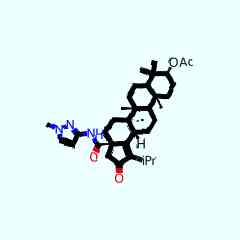 CC(=O)O[C@H]1CC[C@@]2(C)C(CC[C@]3(C)C2CC[C@@H]2C4=C(C(C)C)C(=O)C[C@]4(C(=O)Nc4ccn(C)n4)CC[C@]23C)C1(C)C